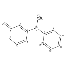 C=C/C=C(\C=C/C)P(c1ccccn1)C(C)(C)C